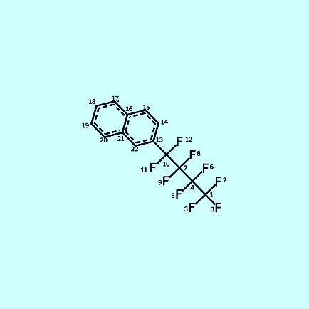 FC(F)(F)C(F)(F)C(F)(F)C(F)(F)c1ccc2[c]cccc2c1